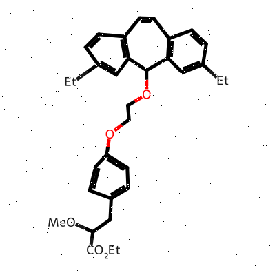 CCOC(=O)C(Cc1ccc(OCCOC2c3cc(CC)ccc3C=Cc3ccc(CC)cc32)cc1)OC